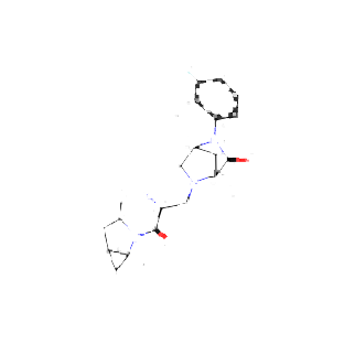 N#C[C@@H]1CC2C[C@@H]2N1C(=O)[C@@H](N)CN1C[C@@H]2C[C@H]1C(=O)N2c1cccc(F)c1